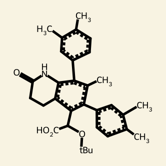 Cc1ccc(-c2c(C)c(-c3ccc(C)c(C)c3)c(C(OC(C)(C)C)C(=O)O)c3c2NC(=O)CC3)cc1C